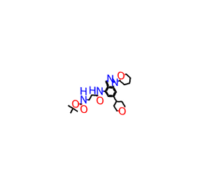 CC(C)(C)OC(=O)NCCC(=O)Nc1cc(C2CCOCC2)cc2c1cnn2C1CCCCO1